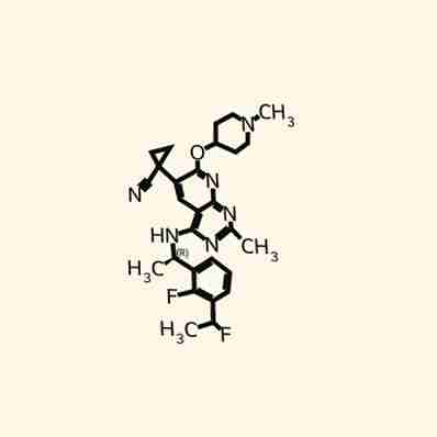 Cc1nc(N[C@H](C)c2cccc(C(C)F)c2F)c2cc(C3(C#N)CC3)c(OC3CCN(C)CC3)nc2n1